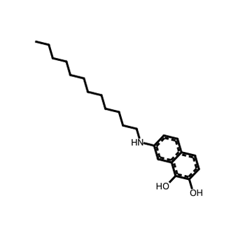 CCCCCCCCCCCCNc1ccc2ccc(O)c(O)c2c1